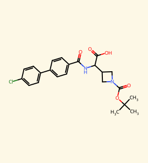 CC(C)(C)OC(=O)N1CC(C(NC(=O)c2ccc(-c3ccc(Cl)cc3)cc2)C(=O)O)C1